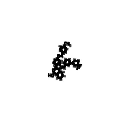 Cc1ccc(COc2ccc3nc(C4CCCCC4C(=O)O)n(Cc4cccc(N5CCC(F)(F)C5)c4)c3c2)nc1